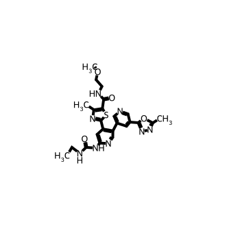 CCNC(=O)Nc1cc(-c2nc(C)c(C(=O)NCCOC)s2)c(-c2cncc(-c3nnc(C)o3)c2)cn1